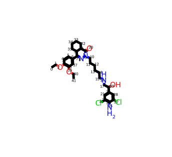 CCOc1ccc(C2=NN(CCCCCCNCC(O)c3cc(Cl)c(N)c(Cl)c3)C(=O)C3CCCCC23)cc1OCC